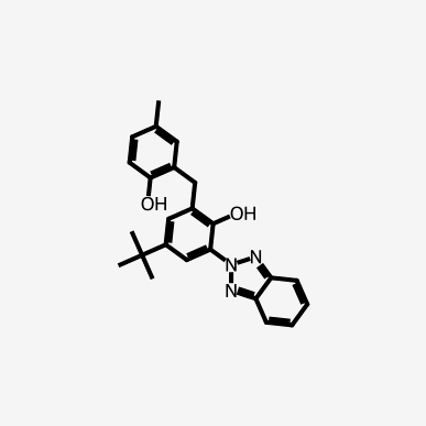 Cc1ccc(O)c(Cc2cc(C(C)(C)C)cc(-n3nc4ccccc4n3)c2O)c1